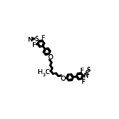 CC(CCCCOc1ccc(-c2cc(F)c(N=C=S)c(F)c2)cc1)CCCCOc1ccc(-c2cc(F)c(SC#N)c(F)c2)cc1